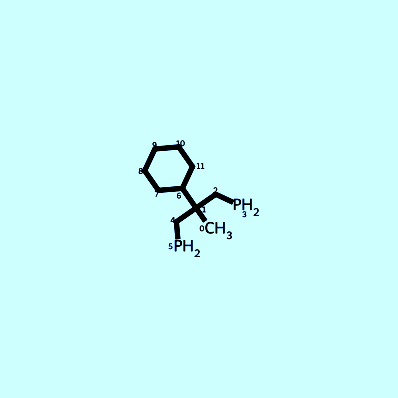 CC(CP)(CP)C1CCCCC1